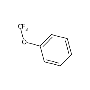 FC(F)(F)Oc1ccccc1